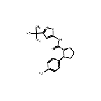 CC(C)(O)c1cc(NC(=O)N2CCCN2c2ccc(C(F)(F)F)cc2)on1